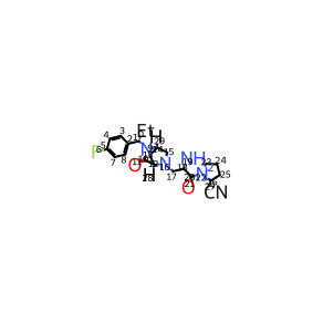 CC[C@@H](c1ccc(F)cc1)N1C(=O)[C@@H]2C[C@H]1CN2C[C@H](N)C(=O)N1CCC[C@H]1C#N